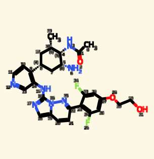 CC(=O)N[C@@H]1[C@H](N)C[C@H](c2ccncc2Nc2ncc3ccc(-c4c(F)cc(OCCO)cc4F)nn23)C[C@@H]1C